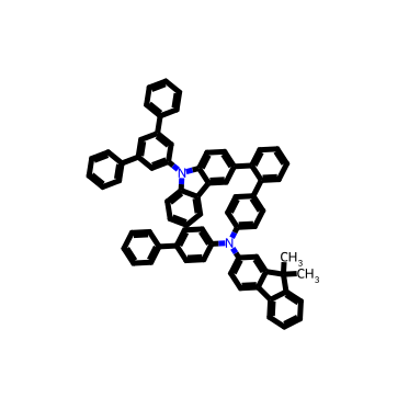 CC1(C)c2ccccc2-c2ccc(N(c3ccc(-c4ccccc4)cc3)c3ccc(-c4ccccc4-c4ccc5c(c4)c4ccccc4n5-c4cc(-c5ccccc5)cc(-c5ccccc5)c4)cc3)cc21